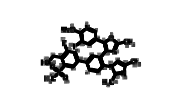 COc1ncc(-c2oc(C)nc2-c2cc(-c3cc(F)c(CO)c(S(C)(=O)=O)c3)ccc2-n2cc(C(F)(F)F)nc2C)cc1F